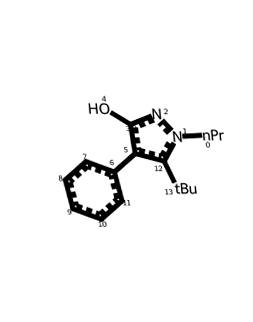 CCCn1nc(O)c(-c2ccccc2)c1C(C)(C)C